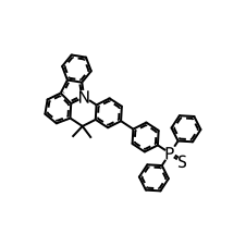 CC1(C)c2cc(-c3ccc(P(=S)(c4ccccc4)c4ccccc4)cc3)ccc2-n2c3ccccc3c3cccc1c32